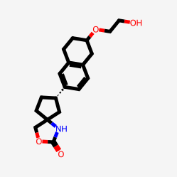 O=C1NC2(CC[C@H](c3ccc4c(c3)CCC(OCCO)C4)C2)CO1